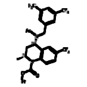 CC(=O)N(Cc1cc(C(F)(F)F)cc(C(F)(F)F)c1)[C@H]1C[C@@H](C)N(C(=O)OC(C)C)c2ccc(C(F)(F)F)cc21